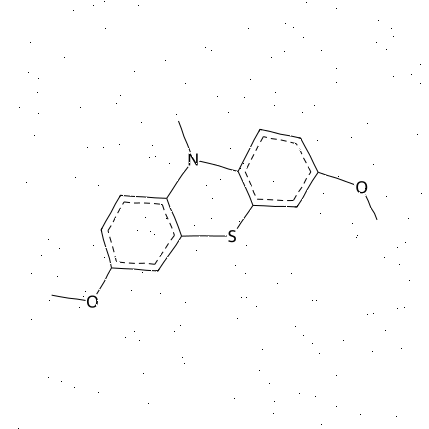 COc1ccc2c(c1)Sc1cc(OC)ccc1N2C